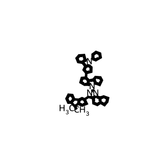 CC1(C)c2ccccc2-c2cc(-c3nc(-n4c5ccccc5c5c(-c6ccc7c(c6)c6ccccc6n7-c6ccccc6)cccc54)nc4c3ccc3ccccc34)ccc21